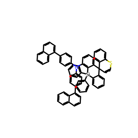 c1ccc([Si]2(c3ccccc3)c3ccccc3C3(c4ccccc4Sc4ccccc43)c3cccc(N(c4ccc(-c5cccc6ccccc56)cc4)c4ccc(-c5cccc6ccccc56)cc4)c32)cc1